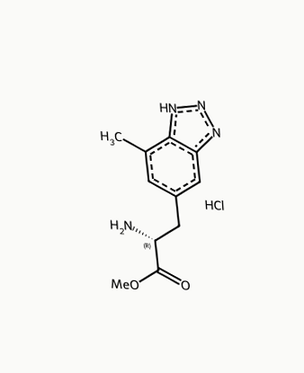 COC(=O)[C@H](N)Cc1cc(C)c2[nH]nnc2c1.Cl